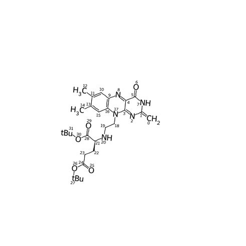 C=c1nc2c(c(=O)[nH]1)=Nc1cc(C)c(C)cc1N2CCN[C@@H](CCC(=O)OC(C)(C)C)C(=O)OC(C)(C)C